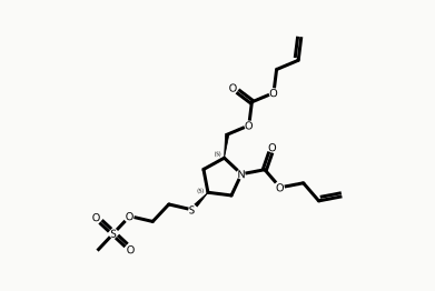 C=CCOC(=O)OC[C@@H]1C[C@H](SCCOS(C)(=O)=O)CN1C(=O)OCC=C